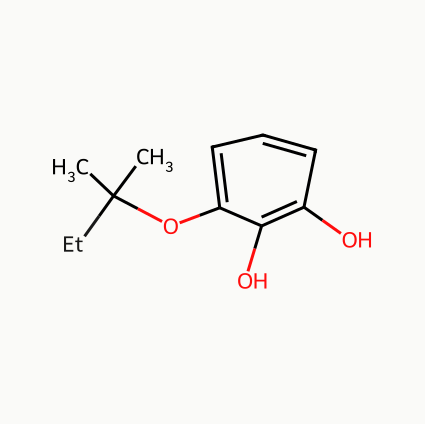 CCC(C)(C)Oc1cccc(O)c1O